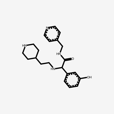 O=C(NCc1ccncc1)C(NCCC1CCNCC1)c1cccc(O)c1